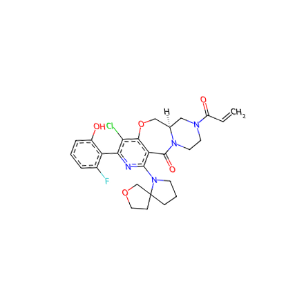 C=CC(=O)N1CCN2C(=O)c3c(N4CCCC45CCOC5)nc(-c4c(O)cccc4F)c(Cl)c3OC[C@H]2C1